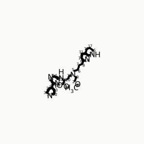 COCCN(CCCCc1ccc2c(n1)NCCC2)CC[C@H](Nc1cncc(-c2ccncc2)n1)C(=O)O